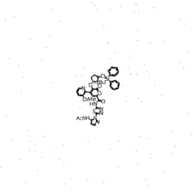 COc1cccnc1-c1cc(C(=O)Nc2nnc(-n3nccc3NC(C)=O)s2)oc(=O)c1O[C@H]1CC[C@@H](O[Si](c2ccccc2)(c2ccccc2)C(C)(C)C)C1